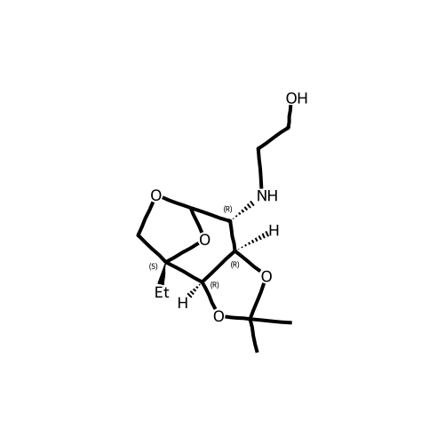 CC[C@@]12COC(O1)[C@H](NCCO)[C@H]1OC(C)(C)O[C@H]12